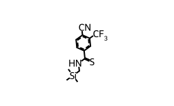 C[Si](C)(C)CNC(=S)c1ccc(C#N)c(C(F)(F)F)c1